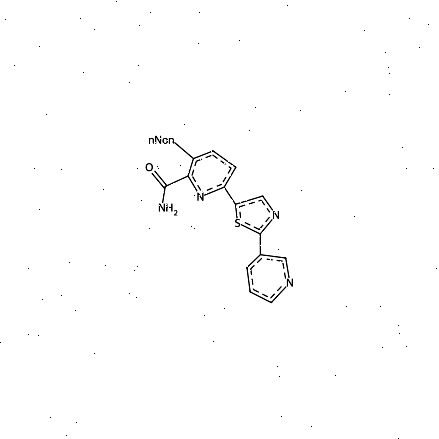 CCCCCCCCCc1ccc(-c2cnc(-c3cccnc3)s2)nc1C(N)=O